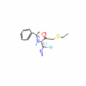 C=N/C(F)=C(/C(=O)CSCC)N(C)[C@H](C)c1ccccc1